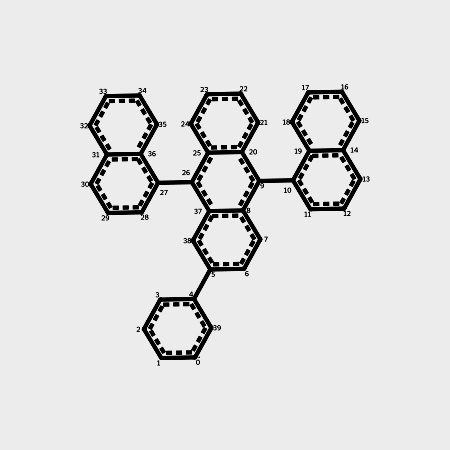 [c]1cccc(-c2ccc3c(-c4cccc5ccccc45)c4ccccc4c(-c4cccc5ccccc45)c3c2)c1